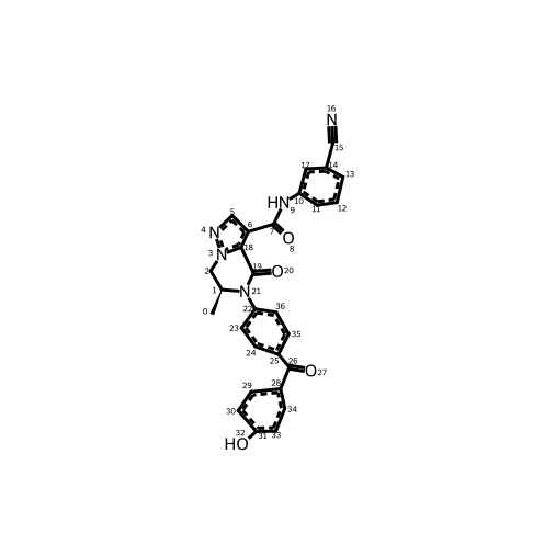 C[C@H]1Cn2ncc(C(=O)Nc3cccc(C#N)c3)c2C(=O)N1c1ccc(C(=O)c2ccc(O)cc2)cc1